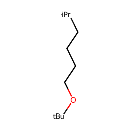 C[C](C)CCCCOC(C)(C)C